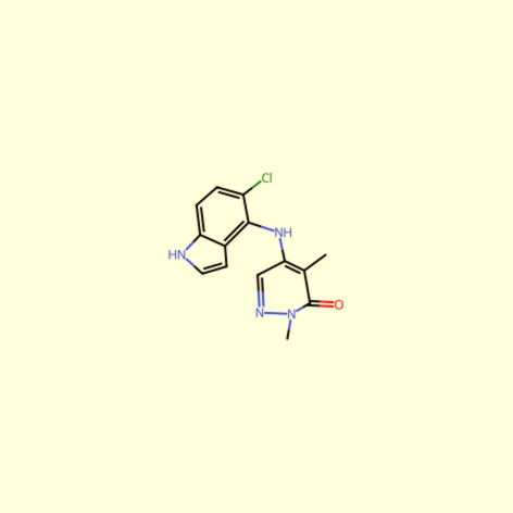 Cc1c(Nc2c(Cl)ccc3[nH]ccc23)cnn(C)c1=O